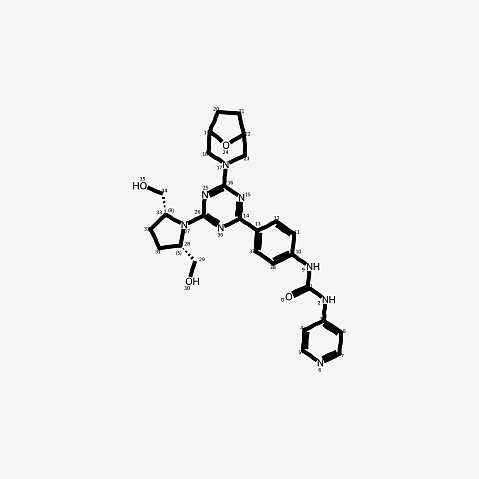 O=C(Nc1ccncc1)Nc1ccc(-c2nc(N3CC4CCC(C3)O4)nc(N3[C@H](CO)CC[C@@H]3CO)n2)cc1